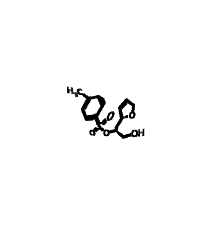 Cc1ccc(S(=O)(=O)O[C@H](CO)[C@@H]2C=CCO2)cc1